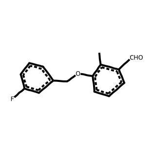 Cc1c(C=O)cccc1OCc1cccc(F)c1